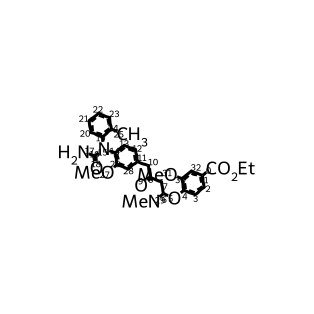 CCOC(=O)c1ccc(OC(CC(=O)Cc2ccc(N(C(N)=O)c3ccccc3C)c(OC)c2)NC)c(OC)c1